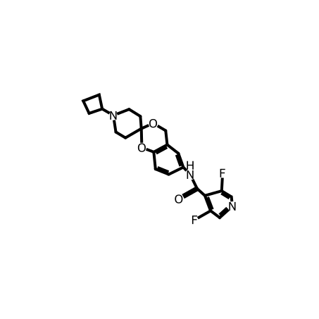 O=C(Nc1ccc2c(c1)COC1(CCN(C3CCC3)CC1)O2)c1c(F)cncc1F